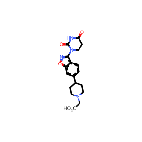 O=C(O)CN1CCC(c2ccc3c(N4CCC(=O)NC4=O)noc3c2)CC1